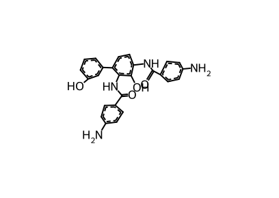 Nc1ccc(C(=O)Nc2ccc(-c3cccc(O)c3)c(NC(=O)c3ccc(N)cc3)c2O)cc1